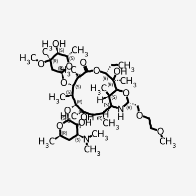 CC[C@H]1OC(=O)[C@H](C)[C@@H](O[C@H]2C[C@@](C)(OC)[C@@H](O)[C@H](C)O2)[C@H](C)[C@@H](O[C@@H]2O[C@H](C)C[C@H](N(C)C)[C@H]2O)[C@](C)(O)C[C@@H](C)[C@@H]2N[C@@H](COCCOC)OC([C@H]2C)[C@]1(C)O